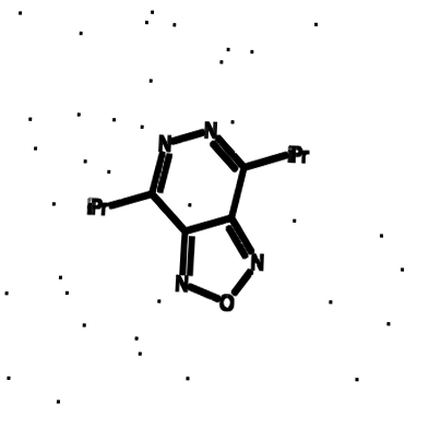 CC(C)c1nnc(C(C)C)c2nonc12